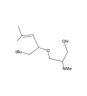 CNC(CO)COC(C=C(C)C)CC(C)(C)C